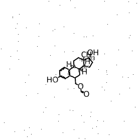 C[C@]12CC[C@@H]3c4ccc(O)cc4C(COC=O)C[C@H]3[C@@H]1CC[C@H]2O